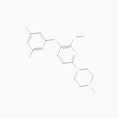 COc1nc(N2CCN(C)CC2)ccc1Sc1cc(Cl)cc(Cl)c1